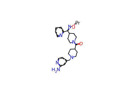 CC(C)ON=C(c1ccccn1)C1CCN(C(=O)C2CCN(Cc3ccnc(N)c3)CC2)CC1